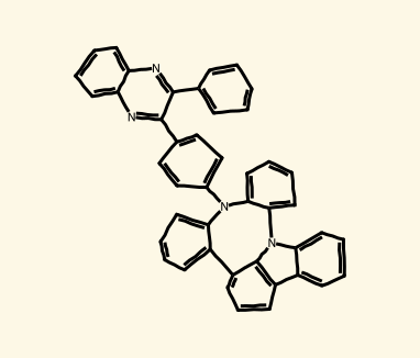 c1ccc(-c2nc3ccccc3nc2-c2ccc(-n3c4ccccc4c4cccc5c6ccccc6n(c6ccccc63)c45)cc2)cc1